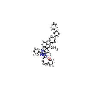 C=CC(/C1=C/C=CC(c2cccc(C3=CCC=CC=C3)c2)/C=C\C1)=c1/cccc/c1=C(C)\C(=C\C/C1=C/C=C\Cc2ccccc2OC1)\N=C(/N)c1ccccc1